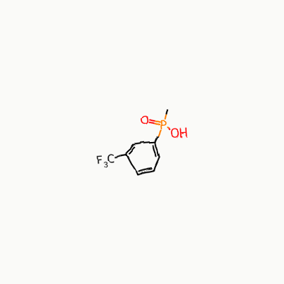 CP(=O)(O)c1cccc(C(F)(F)F)c1